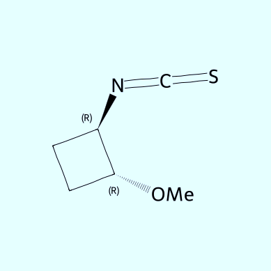 CO[C@@H]1CC[C@H]1N=C=S